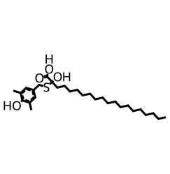 CCCCCCCCCCCCCCCCCCC(O)(SCc1cc(C)c(O)c(C)c1)C(=O)O